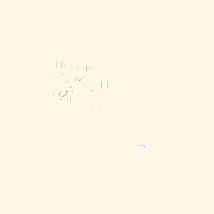 CCCC/C=C\CCCCCCCCCC(=O)OC[C@@H](O)CO[C@H]1O[C@H](CS(=O)(=O)O)[C@@H](O)C(O)C1O